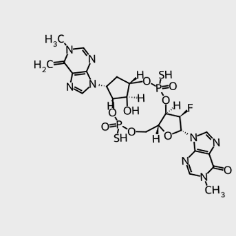 C=C1c2ncn([C@@H]3C[C@@H]4OP(=O)(S)O[C@H]5[C@@H](F)[C@H](n6cnc7c(=O)n(C)cnc76)O[C@@H]5COP(=O)(S)O[C@@H]3[C@@H]4O)c2N=CN1C